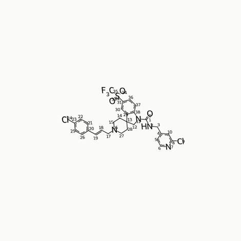 O=C(NCc1ccnc(Cl)c1)N1CC2(CCN(CC=Cc3ccc(Cl)cc3)CC2)c2cc(S(=O)(=O)C(F)(F)F)ccc21